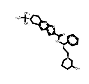 CC(C)(C)[C@H]1CCc2nc3sc(C(=O)N[C@H](CCN4CCCC(O)C4)c4ccccc4)cc3cc2C1